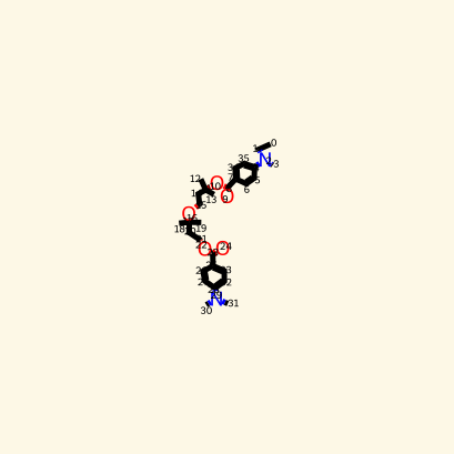 CCN(C)c1ccc(C(=O)OC(C)(C)CCOC(C)(C)CCOC(=O)c2ccc(N(C)C)cc2)cc1